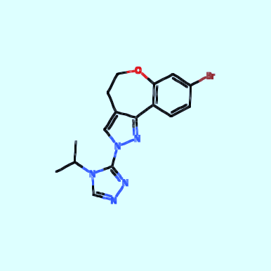 CC(C)n1cnnc1-n1cc2c(n1)-c1ccc(Br)cc1OCC2